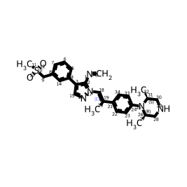 C=Nc1c(-c2cccc(CS(C)(=O)=O)c2)cnn1/C=C(\C)c1ccc(N2[C@H](C)CNC[C@@H]2C)cc1